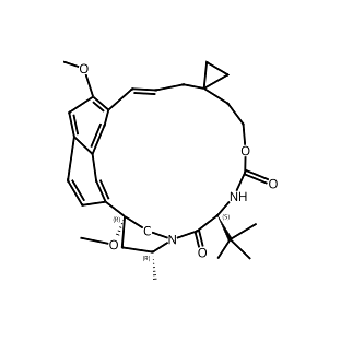 COc1cc2ccc3cc2cc1C=CCC1(CCOC(=O)N[C@@H](C(C)(C)C)C(=O)N2C[C@@]3(OC)C[C@H]2C)CC1